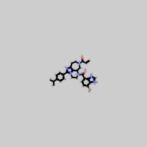 C=CC(=O)N1CCc2nc(-c3ccc(C(C)C)cc3)n3c2C(C1)N(C(=O)c1ccc(Br)c2[nH]cnc12)CC3